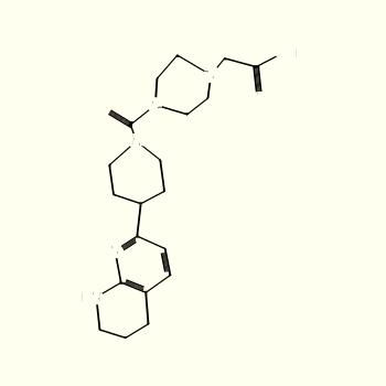 CC(=O)CN1CCN(C(=O)N2CCC(c3ccc4c(n3)NCCC4)CC2)CC1